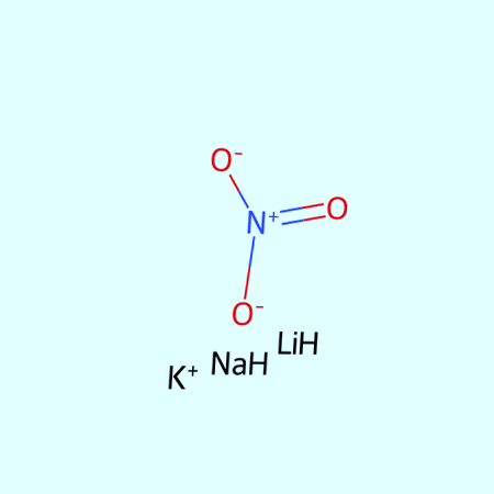 O=[N+]([O-])[O-].[K+].[LiH].[NaH]